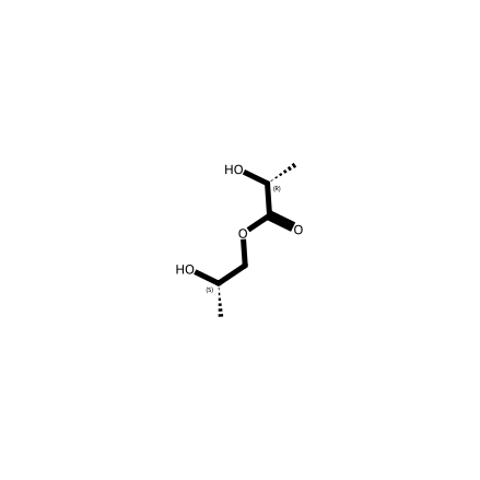 C[C@H](O)COC(=O)[C@@H](C)O